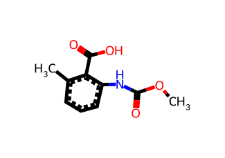 COC(=O)Nc1cccc(C)c1C(=O)O